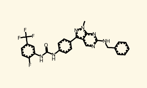 Cn1nc(-c2ccc(NC(=O)Nc3cc(C(F)(F)F)ccc3F)cc2)c2cnc(NCc3ccccc3)nc21